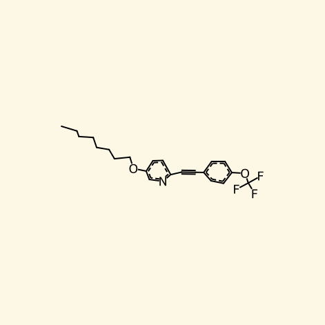 CCCCCCCCOc1ccc(C#Cc2ccc(OC(F)(F)F)cc2)nc1